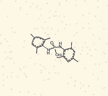 Cc1cc(C)c(NP(=O)(O)Nc2c(C)cc(C)cc2C)c(C)c1